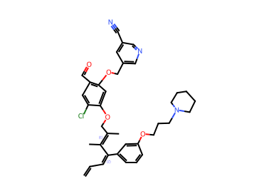 C=C/C=C(\C(C)=C(/C)COc1cc(OCc2cncc(C#N)c2)c(C=O)cc1Cl)c1cccc(OCCCN2CCCCC2)c1